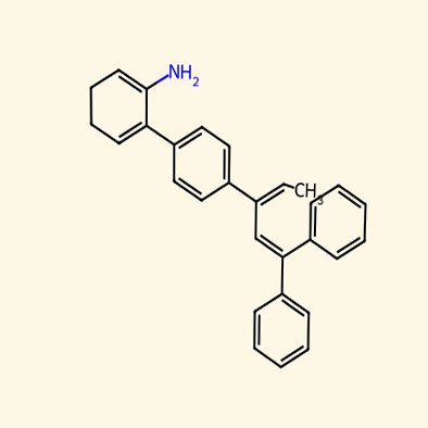 C/C=C(\C=C(c1ccccc1)c1ccccc1)c1ccc(C2=CCCC=C2N)cc1